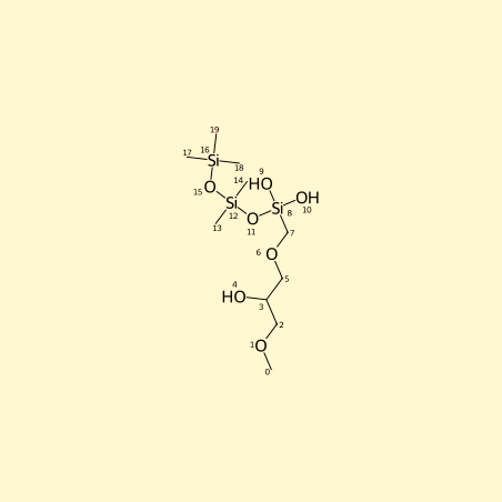 COCC(O)COC[Si](O)(O)O[Si](C)(C)O[Si](C)(C)C